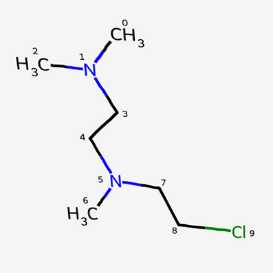 CN(C)CCN(C)CCCl